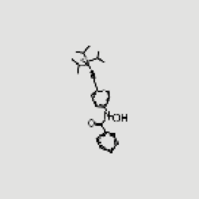 CC(C)[Si](C#Cc1ccc(N(O)C(=O)c2ccccc2)cc1)(C(C)C)C(C)C